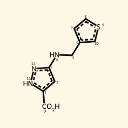 O=C(O)c1cc(NCc2ccsc2)n[nH]1